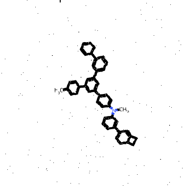 Cc1ccc(-c2cc(-c3ccc(N(C)c4cccc(C5=CCC6CCC6=C5)c4)cc3)cc(-c3cccc(-c4ccccc4)c3)c2)cc1